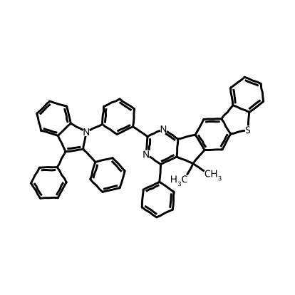 CC1(C)c2cc3sc4ccccc4c3cc2-c2nc(-c3cccc(-n4c(-c5ccccc5)c(-c5ccccc5)c5ccccc54)c3)nc(-c3ccccc3)c21